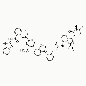 Cc1c(Oc2ccccc2CCC(=O)Nc2cccc3c(C4CCC(=O)NC4=O)nn(C)c23)cccc1-c1ccc(N2CCc3cccc(C(=O)NC4Nc5ccccc5S4)c3C2)nc1C(=O)O